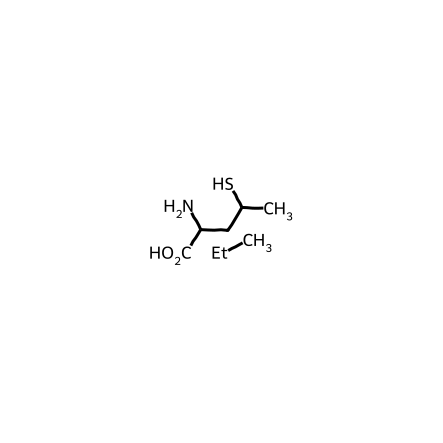 CC(S)CC(N)C(=O)O.CCC